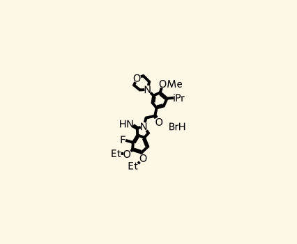 Br.CCOc1cc2c(c(F)c1OCC)C(=N)N(CC(=O)c1cc(C(C)C)c(OC)c(N3CCOCC3)c1)C2